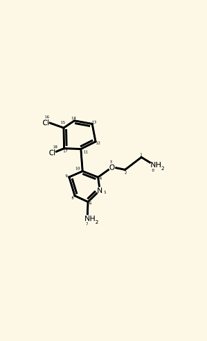 NCCOc1nc(N)ccc1-c1cccc(Cl)c1Cl